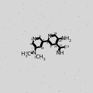 CN(C)c1cncc(-c2cc(C(=N)I)c(N)cn2)c1